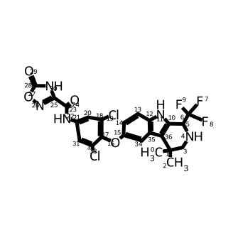 CC1(C)CNC(C(F)(F)F)c2[nH]c3ccc(Oc4c(Cl)cc(NC(=O)c5noc(=O)[nH]5)cc4Cl)cc3c21